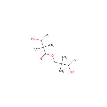 CC(C)C(O)C(C)(C)COC(=O)C(C)(C)C(O)C(C)C